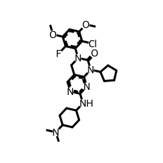 COc1cc(OC)c(Cl)c(N2Cc3cnc(NC4CCC(N(C)C)CC4)nc3N(C3CCCC3)C2=O)c1F